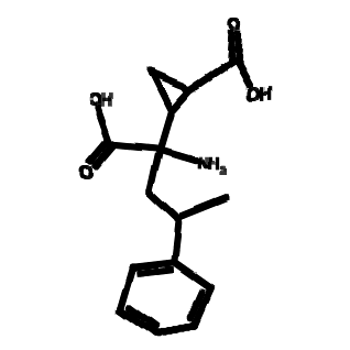 CC(CC(N)(C(=O)O)C1CC1C(=O)O)c1ccccc1